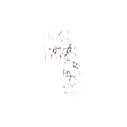 CC[Si](CC)(CC)O[C@H]1[C@H]2O[C@@H](C(O)C(C)C)C[C@@H](C)[C@@H]2[C@@]2(C)CC[C@@]34CC35CCC(O[C@H]3CCCCO3)C(C)(C)[C@@H]5CC[C@H]4[C@]12C